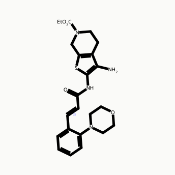 CCOC(=O)N1CCc2c(sc(NC(=O)/C=C/c3ccccc3N3CCOCC3)c2N)C1